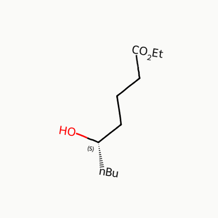 CCCC[C@H](O)CCCC(=O)OCC